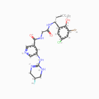 CCOC(=O)C[C@@H](NC(=O)CNC(=O)c1cncc(NC2=NCC(F)CN2)c1)c1cc(Cl)cc(Br)c1O